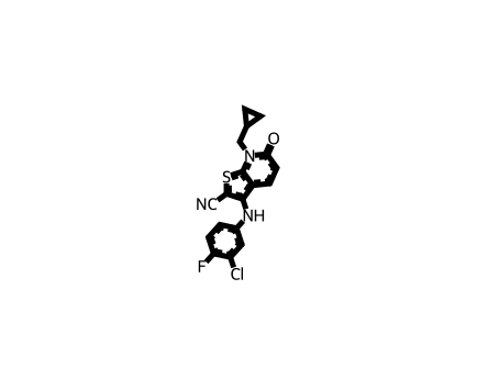 N#Cc1sc2c(ccc(=O)n2CC2CC2)c1Nc1ccc(F)c(Cl)c1